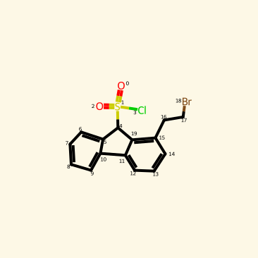 O=S(=O)(Cl)C1c2ccccc2-c2cccc(CCBr)c21